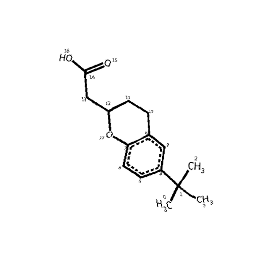 CC(C)(C)c1ccc2c(c1)CCC(CC(=O)O)O2